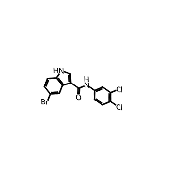 O=C(Nc1ccc(Cl)c(Cl)c1)c1c[nH]c2ccc(Br)cc12